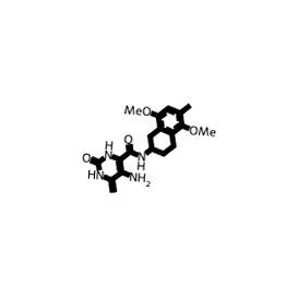 C=C1NC(=O)NC(C(=O)NC2CCc3c(c(OC)cc(C)c3OC)C2)=C1N